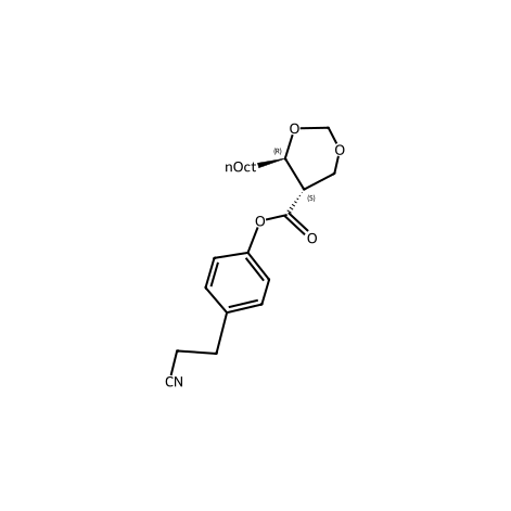 CCCCCCCC[C@H]1OCOC[C@@H]1C(=O)Oc1ccc(CCC#N)cc1